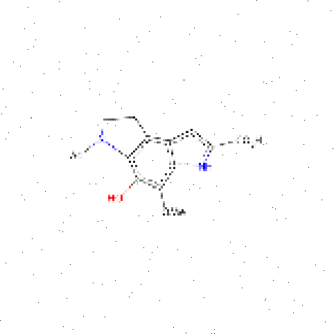 COc1c(O)c2c(c3cc(C(=O)O)[nH]c13)CCN2C(C)=O